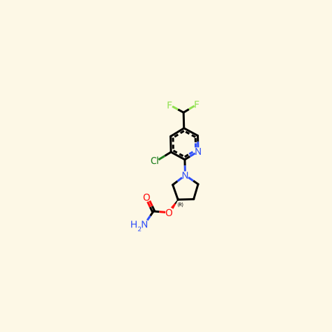 NC(=O)O[C@@H]1CCN(c2ncc(C(F)F)cc2Cl)C1